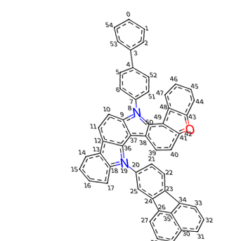 c1ccc(-c2ccc(-n3c4ccc5c6ccccc6n(-c6ccc7c(c6)-c6cccc8cccc-7c68)c5c4c4ccc5oc6ccccc6c5c43)cc2)cc1